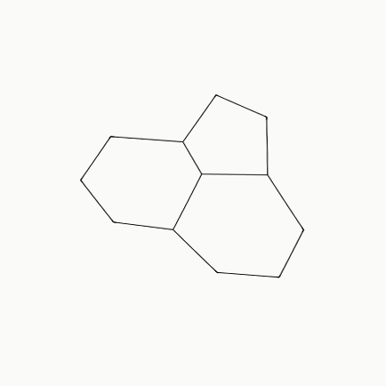 C1CC2CCCC3CCC(C1)C23